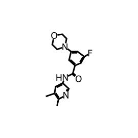 Cc1cc(NC(=O)c2cc(F)cc(N3CCOCC3)c2)cnc1C